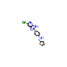 Brc1cnc2[nH]c(-c3ccc(NCc4cccs4)cc3)nc2c1